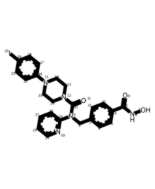 O=C(NO)c1ccc(CN(C(=O)N2CCN(c3ccc(I)cc3)CC2)c2ccccn2)cc1